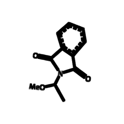 COC(C)N1C(=O)c2ccccc2C1=O